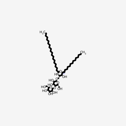 CCCCCCCCCCCCC/C=C/[C@@H](O)[C@H](CO[C@@H]1O[C@H](CO)[C@@H](O[C@@H]2O[C@H](CO)[C@H](O)[C@H](O)[C@H]2O)[C@H](O)[C@H]1O)NC(=O)CCCCCCCCCCCCCCCCCCCCC